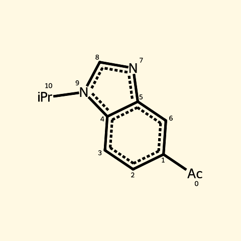 CC(=O)c1ccc2c(c1)ncn2C(C)C